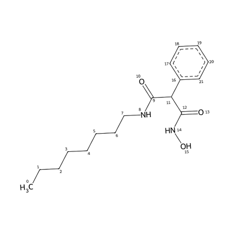 CCCCCCCCNC(=O)C(C(=O)NO)c1ccccc1